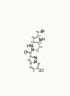 O=C(c1cc2ccc(Cl)cn2n1)N1CCc2[nH]c(CBr)cc2N1